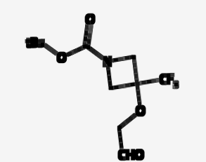 CC(C)(C)OC(=O)N1CC(OCC=O)(C(F)(F)F)C1